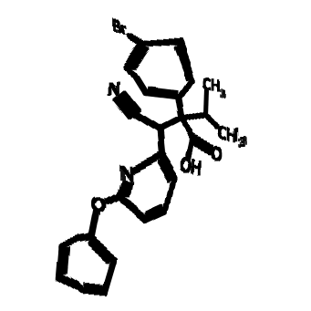 CC(C)C(C(=O)O)(c1ccc(Br)cc1)C(C#N)c1cccc(Oc2ccccc2)n1